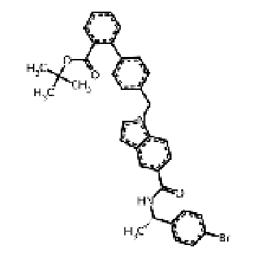 C[C@H](NC(=O)c1ccc2c(ccn2Cc2ccc(-c3ccccc3C(=O)OC(C)(C)C)cc2)c1)c1ccc(Br)cc1